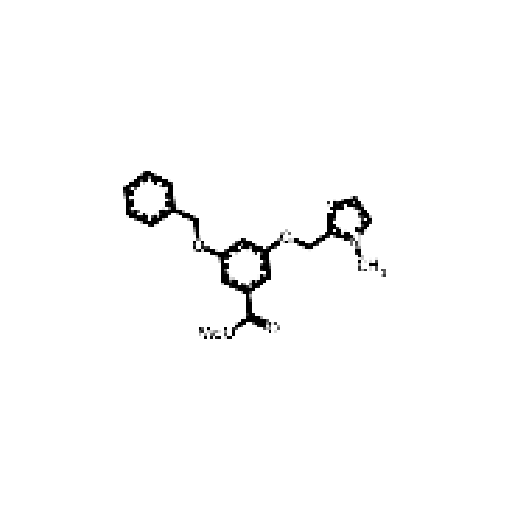 COC(=O)c1cc(OCc2ccccc2)cc(OCc2nccn2C)c1